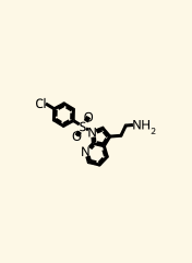 NCCc1cn(S(=O)(=O)c2ccc(Cl)cc2)c2ncccc12